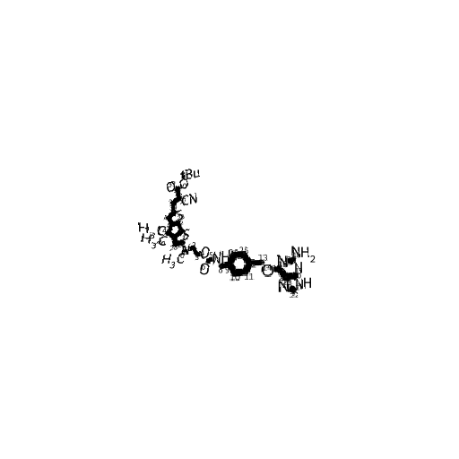 CN(CCOC(=O)NCc1ccc(COc2nc(N)nc3[nH]cnc23)cc1)c1cc2c(s1)-c1sc(/C=C(\C#N)C(=O)OC(C)(C)C)cc1C2(C)C